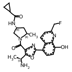 C[C@H](N)c1oc(-c2ccc(O)c3nc(CF)ccc23)nc1C(=O)N1C[C@H](NC(=O)C2CC2)C[C@H]1C